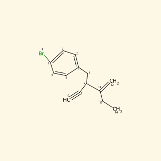 C#CC(Cc1ccc(Br)cc1)C(=C)CC